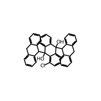 OC1(C2c3ccccc3Cc3ccccc32)c2ccccc2C(O)(C2c3ccccc3Cc3ccccc32)c2c(Cl)cccc21